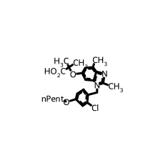 CCCCCOc1ccc(Cn2c(C)nc3c(C)cc(OC(C)(C)C(=O)O)cc32)c(Cl)c1